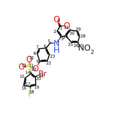 O=c1cc(NCc2ccc(OS(=O)(=O)c3ccc(F)cc3Br)cc2)c2cc([N+](=O)[O-])ccc2o1